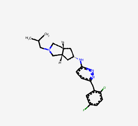 CC(C)CN1C[C@H]2C[C@@H](Nc3ccc(-c4cc(F)ccc4Cl)nn3)C[C@H]2C1